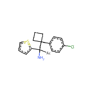 CC(=O)C(N)(c1cccs1)C1(c2ccc(Cl)cc2)CCC1